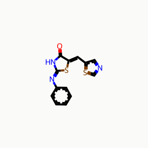 O=C1NC(=Nc2ccccc2)SC1=Cc1cncs1